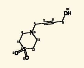 O=S1(=O)CCN(CC#CCO)CC1